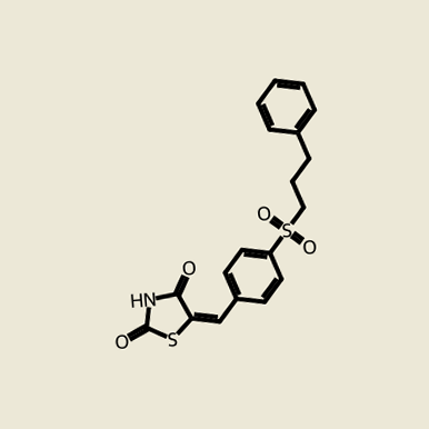 O=C1NC(=O)/C(=C\c2ccc(S(=O)(=O)CCCc3ccccc3)cc2)S1